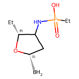 B[C@H]1CC(NP(=O)(O)CC)[C@@H](CC)O1